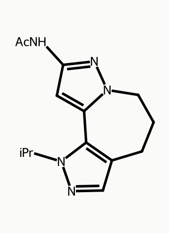 CC(=O)Nc1cc2n(n1)CCCc1cnn(C(C)C)c1-2